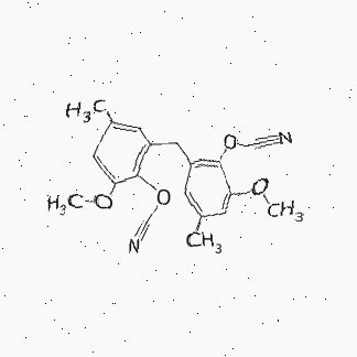 COc1cc(C)cc(Cc2cc(C)cc(OC)c2OC#N)c1OC#N